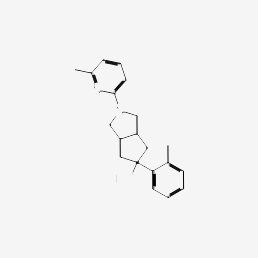 Cc1cccc(N2CC3CC(O)(c4ccccc4C)CC3C2)n1